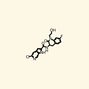 O=C(NC1Cc2ccc(F)cc2N(CCO)C1=O)c1cc2cc(Cl)ncc2[nH]1